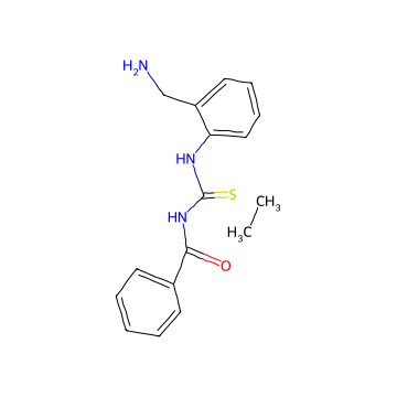 CC.NCc1ccccc1NC(=S)NC(=O)c1ccccc1